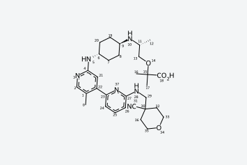 Cc1cnc(N[C@H]2CC[C@H](N[C@H](C)COC(C)(C)C(=O)O)CC2)cc1-c1cccc(NCC2(C#N)CCOCC2)n1